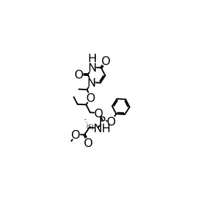 CCC(COP(N[C@@H](C)C(=O)OC)Oc1ccccc1)OC(C)n1ccc(=O)[nH]c1=O